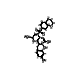 CC(C)CN(CCC(Cc1ccc(O)cc1)N(O)C(=O)O)S(=O)(=O)c1ccc2c(c1)OCCO2